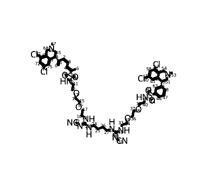 C=C(/C=C\C=C(/C)S(=O)(=O)NCCOCCOCCN/C(=N\C#N)NCCCCN/C(=N/C#N)NCCOCCOCCNS(=O)(=O)c1cccc([C@@H]2CN(C)Cc3c(Cl)cc(Cl)cc32)c1)[C@@H]1CN(C)Cc2c(Cl)cc(Cl)cc21